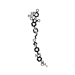 COc1ccc2nc(-c3ccc(N4CC(OCCCN5CCN(c6ccc7c(c6)C(=O)N(C6CCC(=O)NC6O)C7=O)CC5)C4)cc3)sc2c1